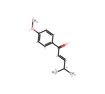 COc1ccc(C(=O)/C=C/C(C)C)cc1